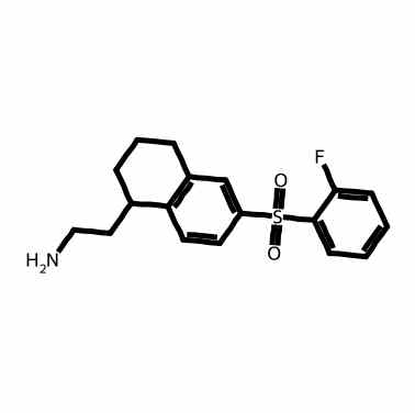 NCCC1CCCc2cc(S(=O)(=O)c3ccccc3F)ccc21